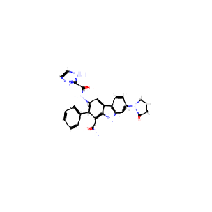 NC(=O)c1c(-c2ccccc2)c(NC(=O)c2ncc[nH]2)cc2c1[nH]c1cc(N3CCCC3=O)ccc12